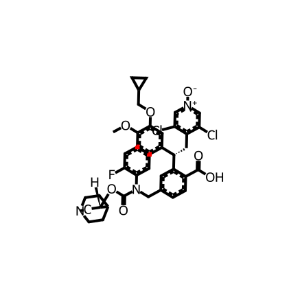 COc1ccc([C@H](Cc2c(Cl)c[n+]([O-])cc2Cl)c2cc(CN(C(=O)O[C@H]3CN4CCC3CC4)c3ccccc3F)ccc2C(=O)O)cc1OCC1CC1